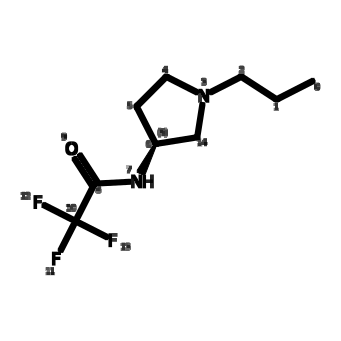 CCCN1CC[C@H](NC(=O)C(F)(F)F)C1